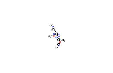 C=CC(=O)Nc1cc2c(Nc3ccc(Oc4ccc(C)nc4)c(C)c3)ncnc2cc1C#CC1[C@H]2CN(C)C[C@@H]12